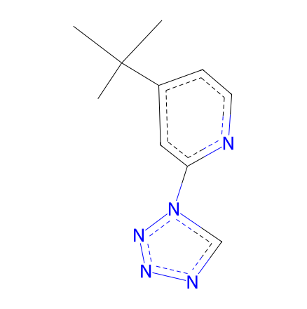 CC(C)(C)c1ccnc(-n2cnnn2)c1